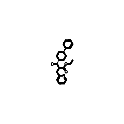 CCOC(=O)C(Cc1ccccn1)C(=O)[C@H]1CC[C@H](C2C=CC=CC2)CC1